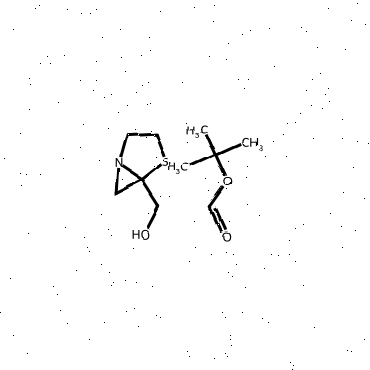 CC(C)(C)OC=O.OCC12CN1CCS2